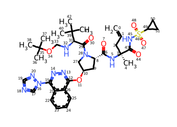 C=CC[C@](C)(NC(=O)[C@@H]1C[C@@H](Oc2nnc(-n3cncn3)c3ccccc23)CN1C(=O)[C@@H](NCOC(C)(C)C)C(C)(C)C)C(=O)NS(=O)(=O)C1CC1